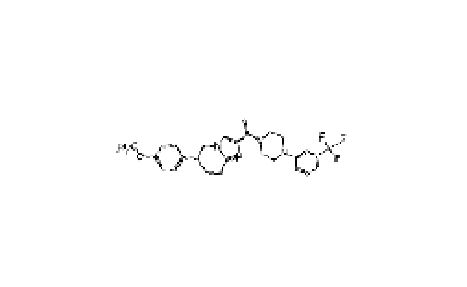 COc1ccc(C2CCc3nc(C(=O)N4CCN(c5cccc(C(F)(F)F)c5)CC4)cn3C2)cc1